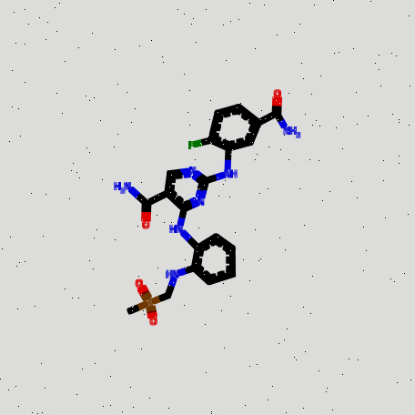 CS(=O)(=O)CNc1ccccc1Nc1nc(Nc2cc(C(N)=O)ccc2F)ncc1C(N)=O